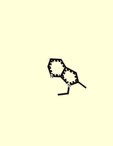 CCn1c(C)cc2c[c]cnc21